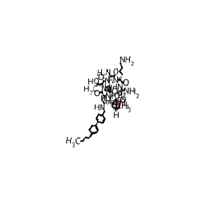 CCCCc1ccc(-c2ccc(CNCC[C@H](NC(C)=O)C(=O)N[C@H](C(=O)N[C@@H](N)C(=O)N[C@@H](CCCCN)C(=O)N[C@@H](N)B3OC4C[C@@H]5C[C@@H](C5(C)C)[C@]4(C)O3)[C@@H](C)O)cc2)cc1